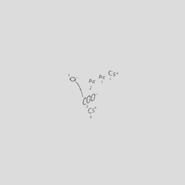 O=C([O-])[O-].[Ar].[Ar].[Cs+].[Cs+]